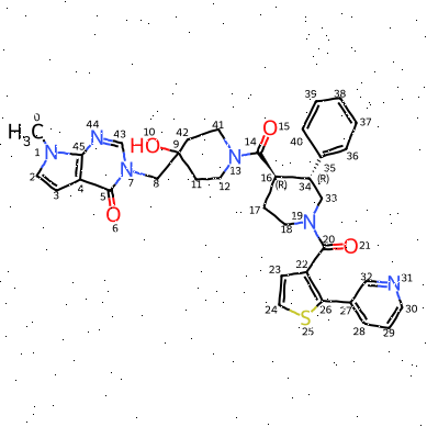 Cn1ccc2c(=O)n(CC3(O)CCN(C(=O)[C@@H]4CCN(C(=O)c5ccsc5-c5cccnc5)C[C@H]4c4ccccc4)CC3)cnc21